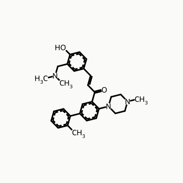 Cc1ccccc1-c1ccc(N2CCN(C)CC2)c(C(=O)C=Cc2ccc(O)c(CN(C)C)c2)c1